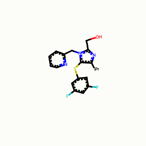 CC(C)c1nc(CO)n(Cc2ccccn2)c1Sc1cc(F)cc(F)c1